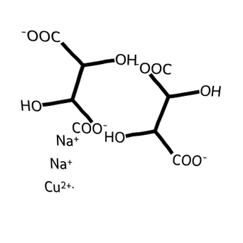 O=C([O-])C(O)C(O)C(=O)[O-].O=C([O-])C(O)C(O)C(=O)[O-].[Cu+2].[Na+].[Na+]